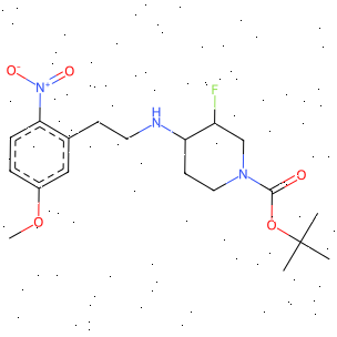 COc1ccc([N+](=O)[O-])c(CCNC2CCN(C(=O)OC(C)(C)C)CC2F)c1